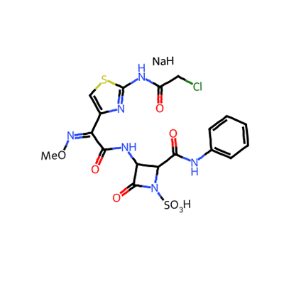 CO/N=C(\C(=O)NC1C(=O)N(S(=O)(=O)O)C1C(=O)Nc1ccccc1)c1csc(NC(=O)CCl)n1.[NaH]